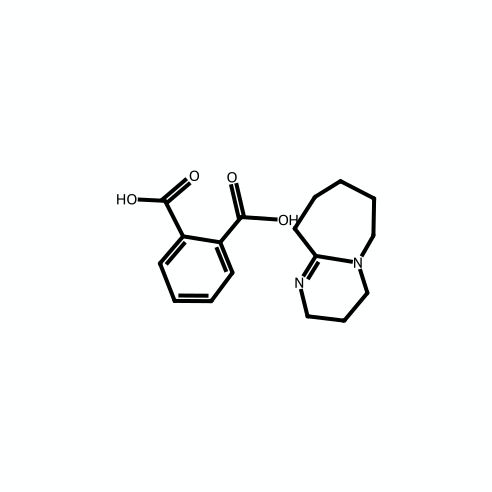 C1CCC2=NCCCN2CC1.O=C(O)c1ccccc1C(=O)O